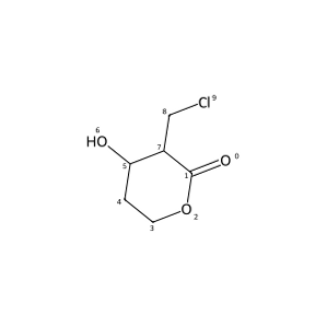 O=C1OCCC(O)C1CCl